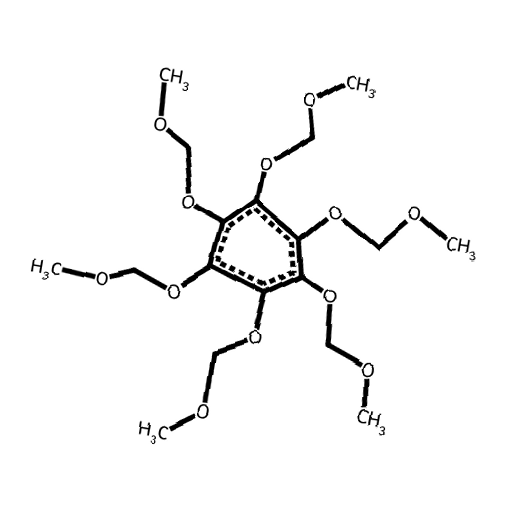 COCOc1c(OCOC)c(OCOC)c(OCOC)c(OCOC)c1OCOC